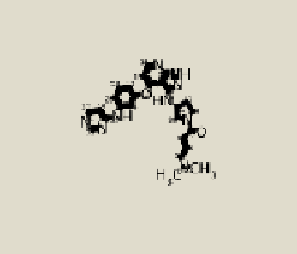 CN(C)CC=CC(=O)N1CC[C@@H](Nc2n[nH]c3nccc(Oc4cccc(Nc5ccncn5)c4)c23)C1